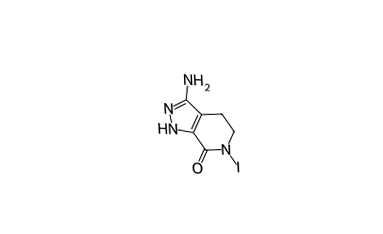 Nc1n[nH]c2c1CCN(I)C2=O